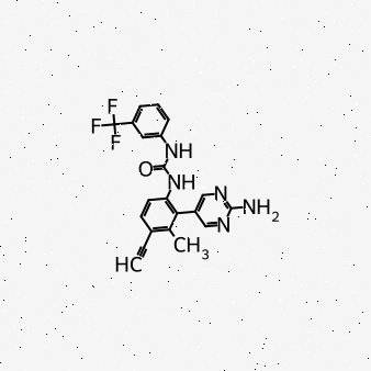 C#Cc1ccc(NC(=O)Nc2cccc(C(F)(F)F)c2)c(-c2cnc(N)nc2)c1C